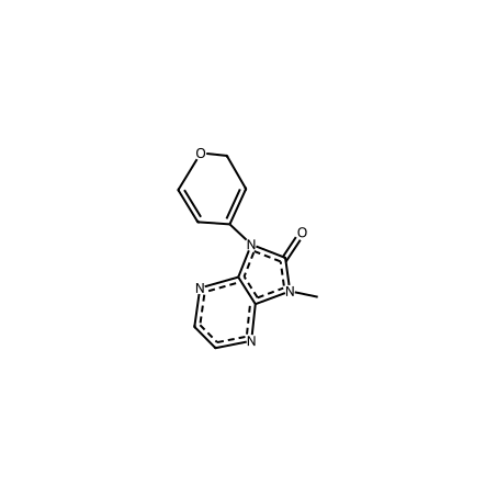 Cn1c(=O)n(C2=CCOC=C2)c2nccnc21